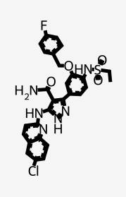 CCS(=O)(=O)Nc1ccc(-c2n[nH]c(Nc3ccc4cc(Cl)ccc4n3)c2C(N)=O)cc1OCc1ccc(F)cc1